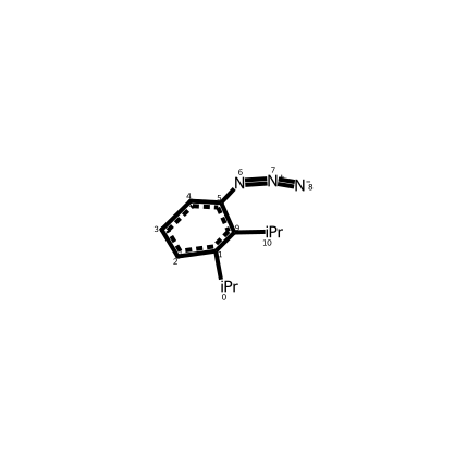 CC(C)c1cccc(N=[N+]=[N-])c1C(C)C